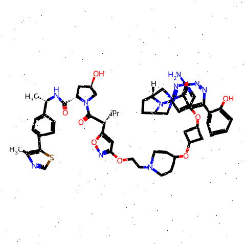 Cc1ncsc1-c1ccc([C@H](C)NC(=O)[C@@H]2C[C@@H](O)CN2C(=O)[C@@H](c2cc(OCCN3CCC(OC4CC(Oc5cnnc(N6C7CC[C@@H]6CN(c6cc(-c8ccccc8O)nnc6N)C7)c5)C4)CC3)no2)C(C)C)cc1